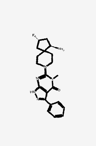 Cn1c(N2CCC3(CC2)C[C@H](F)C[C@H]3N)nc2[nH]nc(-c3ccccc3)c2c1=O